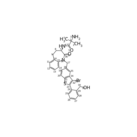 CC(C)(N)C(=O)N[C@@H]1CCc2ccccc2N(Cc2ccc3sc(-c4ccccc4CO)c(Br)c3c2)C1=O